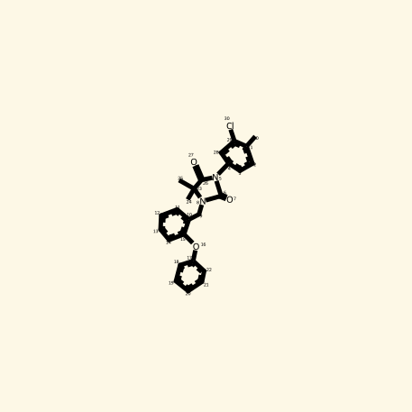 Cc1ccc(N2C(=O)N(Cc3ccccc3Oc3ccccc3)C(C)(C)C2=O)cc1Cl